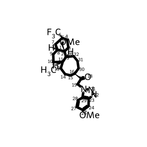 COC[C@]12CC[C@H](C(F)(F)F)C[C@H]1CC[C@H]1[C@@H](C)CC[C@H](C(=O)Cn3nnc4cc(OC)ccc43)CCC[C@@H]12